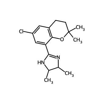 CC1N=C(c2cc(Cl)cc3c2OC(C)(C)CC3)NC1C